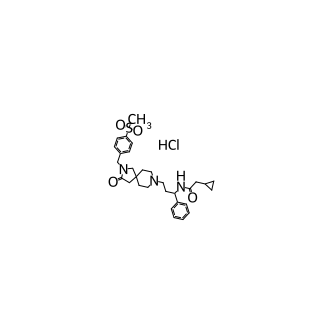 CS(=O)(=O)c1ccc(CN2CC3(CCN(CCC(NC(=O)CC4CC4)c4ccccc4)CC3)CC2=O)cc1.Cl